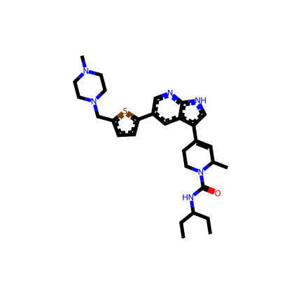 CCC(CC)NC(=O)N1CCC(c2c[nH]c3ncc(-c4ccc(CN5CCN(C)CC5)s4)cc23)=CC1C